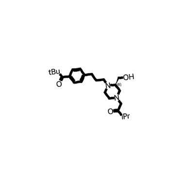 CC(C)C(=O)CN1CCN(CCCc2ccc(C(=O)C(C)(C)C)cc2)[C@@H](CO)C1